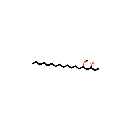 CCCCCCCCCCCCCC(CC(O)CC)OC